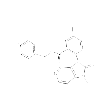 Cc1ccc(-n2c(=S)n(C)c3ccncc32)c(C(=O)OCc2ccccc2)c1